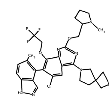 Cc1ccc2[nH]ncc2c1-c1c(Cl)cc2c(N3CCC4(CNC4)C3)nc(OCC3CCCN3C)nc2c1OCC(F)(F)F